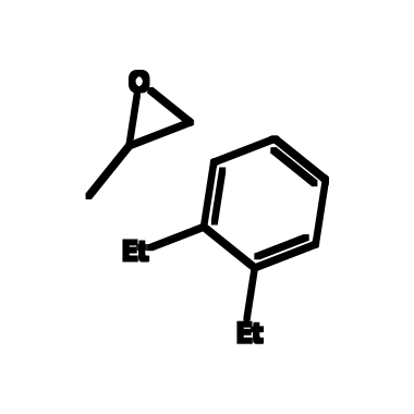 CC1CO1.CCc1ccccc1CC